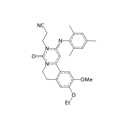 CCOc1cc2c(cc1OC)-c1c/c(=N\c3c(C)cc(C)cc3C)n(CCC#N)c(=O)n1CC2